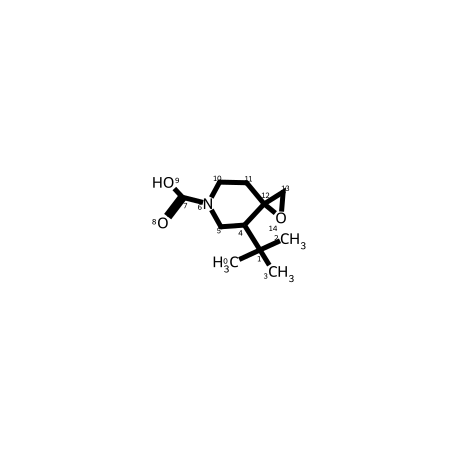 CC(C)(C)C1CN(C(=O)O)CCC12CO2